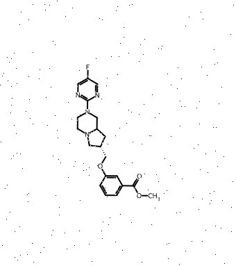 COC(=O)c1cccc(OC[C@H]2CC3CN(c4ncc(F)cn4)CCN3C2)c1